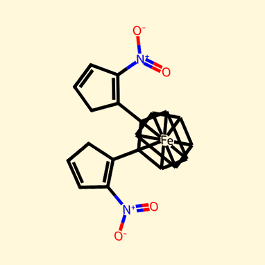 O=[N+]([O-])C1=C([C]23[CH]4[CH]5[CH]6[C]2(C2=C([N+](=O)[O-])C=CC2)[Fe]54632789[CH]3[CH]2[CH]7[CH]8[CH]39)CC=C1